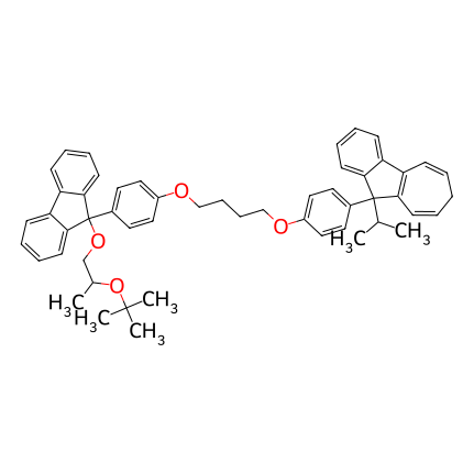 CC(COC1(c2ccc(OCCCCOc3ccc(C4(C(C)C)C5=C(C=CCC=C5)c5ccccc54)cc3)cc2)c2ccccc2-c2ccccc21)OC(C)(C)C